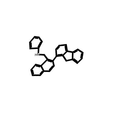 c1ccc(NCc2c(-c3cccc4c3Cc3ccccc3-4)ccc3ccccc23)cc1